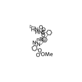 CCCCc1nc2cccc(OC(=O)OC)c2n1Cc1ccc(-c2ccccc2S(=O)(=O)NC(=O)NCC2CC2)cc1